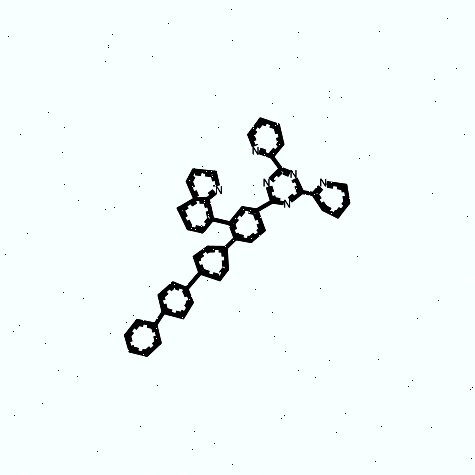 c1ccc(-c2ccc(-c3ccc(-c4ccc(-c5nc(-c6ccccn6)nc(-c6ccccn6)n5)cc4-c4cccc5cccnc45)cc3)cc2)cc1